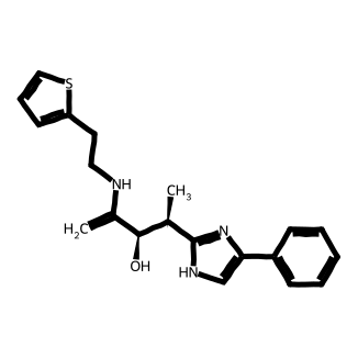 C=C(NCCc1cccs1)[C@H](O)[C@@H](C)c1nc(-c2ccccc2)c[nH]1